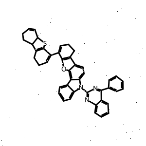 C1=CC2SC3=C(CCC=C3C3=CCCc4c3oc3c4ccc4c3c3ccccc3n4-c3nc(-c4ccccc4)c4ccccc4n3)C2CC1